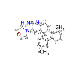 Cc1cccc(-c2cccc(C)c2-c2ccc3nc(N)c(N4CCOCC4)cc3c2)c1